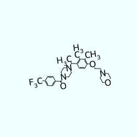 Cc1c(OCCN2CCOCC2)ccc(C(C)N2CCN(C(=O)c3ccc(C(F)(F)F)cc3)CC2)c1C